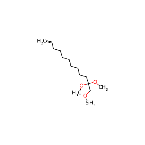 C=CCCCCCCCCC(CO[SiH3])(OC)OC